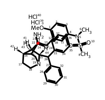 COc1ccc(N(C)S(C)(=O)=O)cc1CN[C@H]1[C@H]2CCN(C[C@@H]2C(N)=O)[C@H]1C(c1ccccc1)c1ccccc1.Cl.Cl